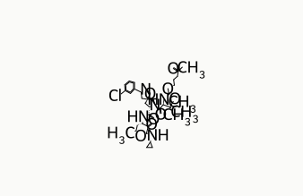 CCC[C@H](NC(=O)[C@@H]1C[C@]2(CC(c3cccc(Cl)c3)=NO2)CN1C(=O)[C@@H](NC(=O)OCCCC(C)=O)C(C)(C)C)C(=O)C(=O)NC1CC1